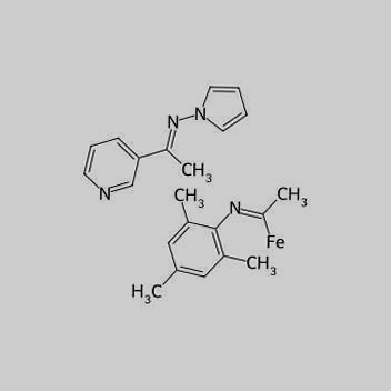 CC(=Nn1cccc1)c1cccnc1.C[C]([Fe])=Nc1c(C)cc(C)cc1C